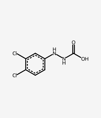 O=C(O)NNc1ccc(Cl)c(Cl)c1